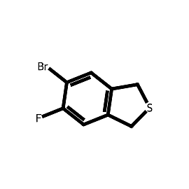 Fc1cc2c(cc1Br)CSC2